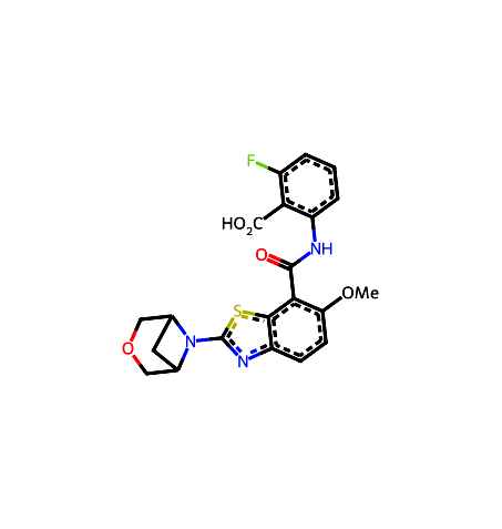 COc1ccc2nc(N3C4COCC3C4)sc2c1C(=O)Nc1cccc(F)c1C(=O)O